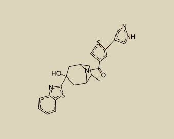 CC1CC2CC(O)(c3nc4ccccc4s3)CC1N2C(=O)c1csc(-c2cn[nH]c2)c1